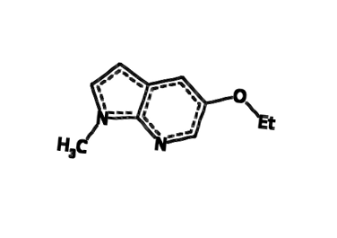 CCOc1cnc2c(ccn2C)c1